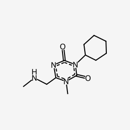 CNCc1nc(=O)n(C2CCCCC2)c(=O)n1C